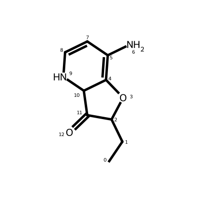 CCC1OC2=C(N)C=CNC2C1=O